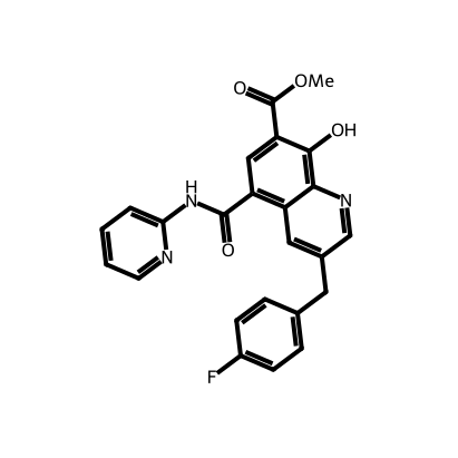 COC(=O)c1cc(C(=O)Nc2ccccn2)c2cc(Cc3ccc(F)cc3)cnc2c1O